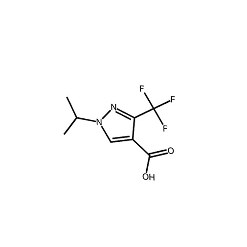 CC(C)n1cc(C(=O)O)c(C(F)(F)F)n1